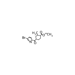 CCOC(=O)C1CCC(C(=O)c2ccc(Br)cn2)CC1C